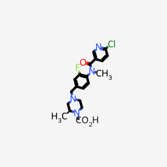 C[C@H]1CN(Cc2ccc(N(C)C(=O)c3ccc(Cl)nc3)c(F)c2)CCN1C(=O)O